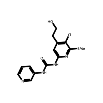 CSc1nc(NC(=O)Nc2cccnc2)cc(CCO)c1Cl